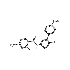 COc1ccc(-c2cc(NC(=O)c3ccc(C(F)(F)F)nc3C)ccc2I)nc1